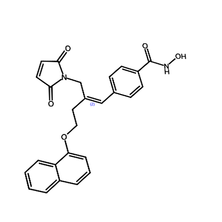 O=C(NO)c1ccc(/C=C(/CCOc2cccc3ccccc23)CN2C(=O)C=CC2=O)cc1